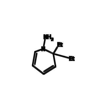 CCC1(CC)C=CC=CN1N